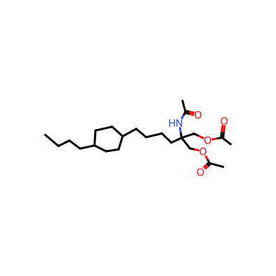 CCCCC1CCC(CCCCC(COC(C)=O)(COC(C)=O)NC(C)=O)CC1